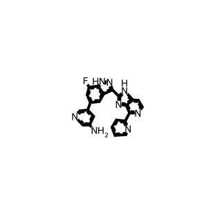 Nc1cncc(-c2cc(F)c3[nH]nc(-c4nc5c(-c6ccccn6)nccc5[nH]4)c3c2)c1